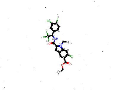 CCOC(=O)c1cc2cc(C(=O)NC(c3ccc(F)c(Br)c3)C(F)(F)F)n(CC)c2cc1Cl